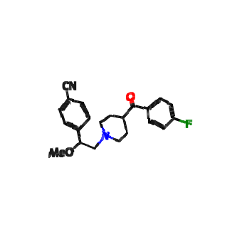 COC(CN1CCC(C(=O)c2ccc(F)cc2)CC1)c1ccc(C#N)cc1